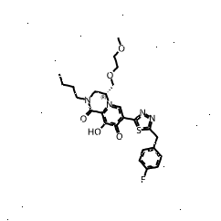 CCCCN1C[C@H](COCCOC)n2cc(-c3nnc(Cc4ccc(F)cc4)s3)c(=O)c(O)c2C1=O